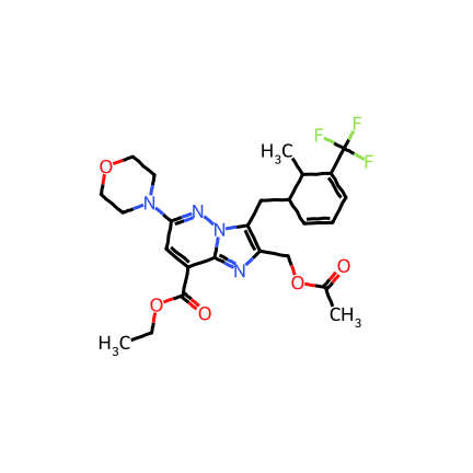 CCOC(=O)c1cc(N2CCOCC2)nn2c(CC3C=CC=C(C(F)(F)F)C3C)c(COC(C)=O)nc12